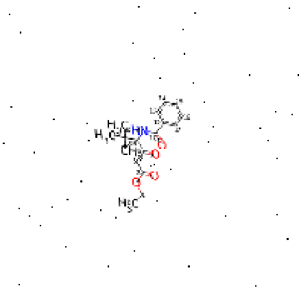 CCOC(=O)CC(=O)C(NC(=O)c1ccccc1)C(C)(C)C